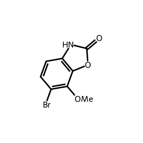 COc1c(Br)ccc2[nH]c(=O)oc12